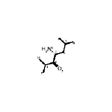 CC(C)C[C@@H](N)C(=O)C(C)C